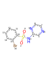 O=S(=O)(Nc1cnccn1)c1ccccc1Br